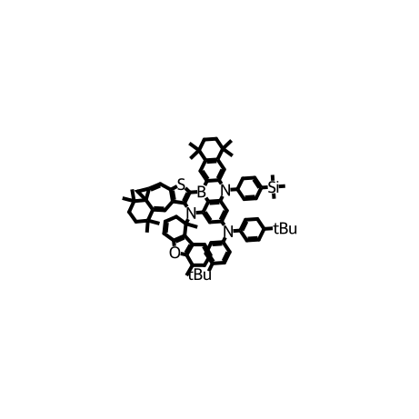 CC1CC=Cc2c1oc1c2C(C)(N2c3cc(N(C4=CCC(C(C)(C)C)C=C4)c4ccc(C(C)(C)C)cc4)cc4c3B(c3cc5c(cc3N4C3C=CC([Si](C)(C)C)=CC3)C(C)(C)CCC5(C)C)c3sc4c(c32)C=C2C(C)(C)CCC(C)(C)C23CC3=C4)CC=C1